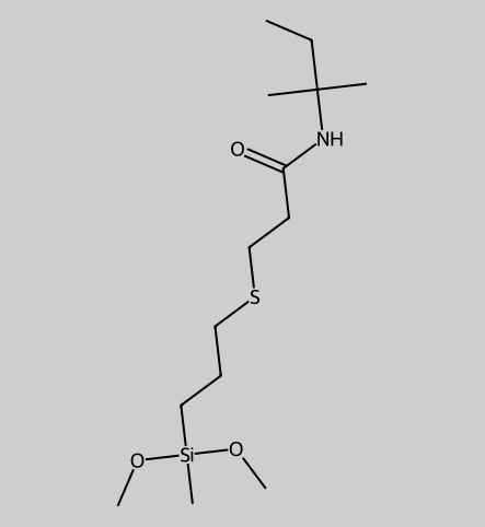 CCC(C)(C)NC(=O)CCSCCC[Si](C)(OC)OC